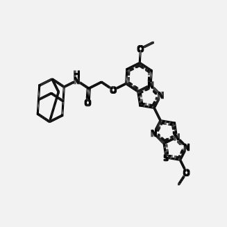 COc1cc(OCC(=O)NC2C3CC4CC(C3)CC2C4)c2cc(-c3cn4nc(OC)sc4n3)nn2c1